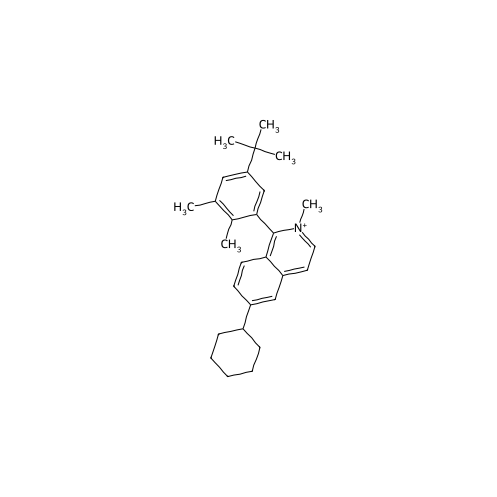 Cc1cc(C(C)(C)C)cc(-c2c3ccc(C4CCCCC4)cc3cc[n+]2C)c1C